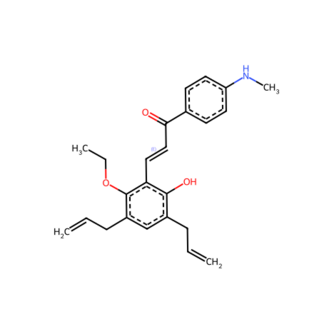 C=CCc1cc(CC=C)c(OCC)c(/C=C/C(=O)c2ccc(NC)cc2)c1O